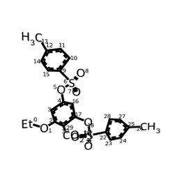 CCOc1cc(OS(=O)(=O)c2ccc(C)cc2)cc(OS(=O)(=O)c2ccc(C)cc2)c1C(=O)O